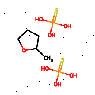 CC1CCCO1.OP(O)(O)=S.OP(O)(O)=S